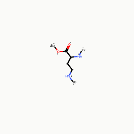 CC(C)NCCC(NC(C)C)C(=O)OC(C)(C)C